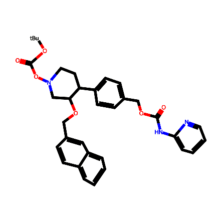 CC(C)(C)OC(=O)ON1CCC(c2ccc(COC(=O)Nc3ccccn3)cc2)C(OCc2ccc3ccccc3c2)C1